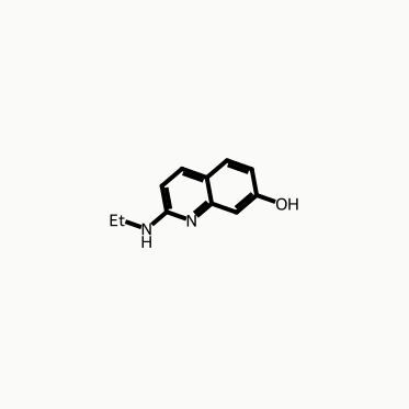 CCNc1ccc2ccc(O)cc2n1